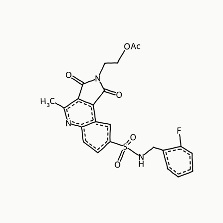 CC(=O)OCCN1C(=O)c2c(C)nc3ccc(S(=O)(=O)NCc4ccccc4F)cc3c2C1=O